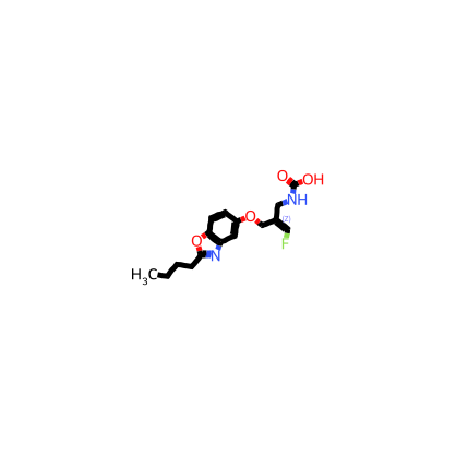 CCCCc1nc2cc(OC/C(=C\F)CNC(=O)O)ccc2o1